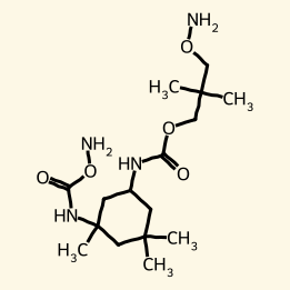 CC(C)(CON)COC(=O)NC1CC(C)(C)CC(C)(NC(=O)ON)C1